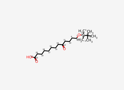 CC(C)(C)[Si](C)(C)OCCCCC(=O)CCCCCCCC(=O)O